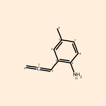 C=C=Cc1cc(C)ccc1N